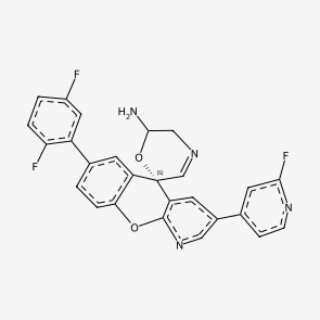 NC1CN=C[C@]2(O1)c1cc(-c3cc(F)ccc3F)ccc1Oc1ncc(-c3ccnc(F)c3)cc12